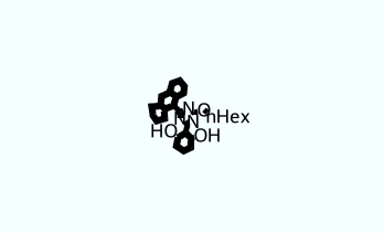 CCCCCCOc1nc(-c2c(O)cccc2O)nc(-c2c3ccccc3cc3ccccc23)n1